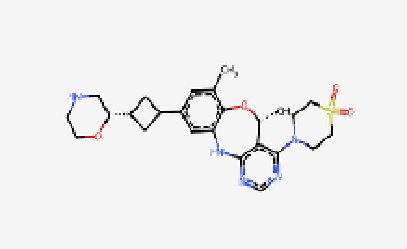 Cc1cc(C2CC([C@H]3CNCCO3)C2)cc2c1O[C@H](C)c1c(ncnc1N1CCS(=O)(=O)CC1)N2